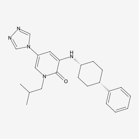 CC(C)Cn1cc(-n2cnnc2)cc(N[C@H]2CC[C@@H](c3ccccc3)CC2)c1=O